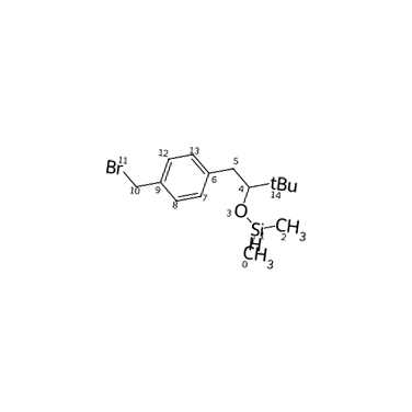 C[SiH](C)OC(Cc1ccc(CBr)cc1)C(C)(C)C